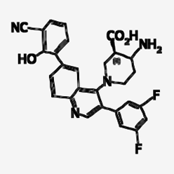 N#Cc1cccc(-c2ccc3ncc(-c4cc(F)cc(F)c4)c(N4CCC(N)[C@H](C(=O)O)C4)c3c2)c1O